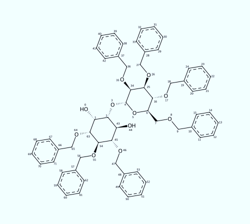 O[C@@H]1[C@H](O[C@H]2O[C@H](COCc3ccccc3)[C@@H](OCc3ccccc3)[C@H](OCc3ccccc3)[C@@H]2OCc2ccccc2)[C@@H](O)[C@H](OCc2ccccc2)[C@@H](OCc2ccccc2)[C@@H]1OCc1ccccc1